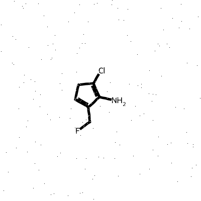 NC1=C(Cl)CC=C1CF